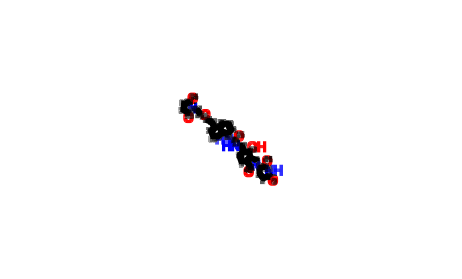 O=C1CCC(N2Cc3c(ccc(CNC(=O)Nc4cccc5c(CCOCCN6C(=O)C=CC6=O)cccc45)c3O)C2=O)C(=O)N1